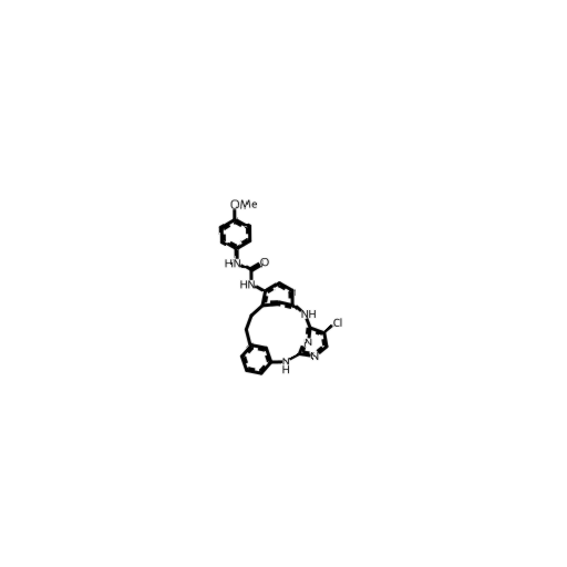 COc1ccc(NC(=O)Nc2ccc3cc2CCc2cccc(c2)Nc2ncc(Cl)c(n2)N3)cc1